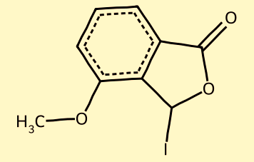 COc1cccc2c1C(I)OC2=O